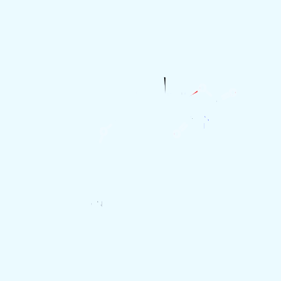 N#Cc1ccc(Oc2ccc3c(c2)CC[C@H]3[C@H]2OC(=O)NC2=O)c2ccccc12